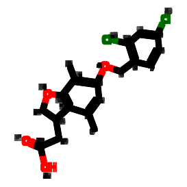 Cc1cc(OCc2ccc(Cl)cc2Cl)c(C)c2c1C(CC(=O)O)CO2